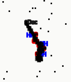 CCCCCCCCCCCCCCCCCCNC(=O)CCC(=O)OC[C@@H]1CNC[C@H](n2ccc(NC(=O)c3ccccc3)nc2=O)O1